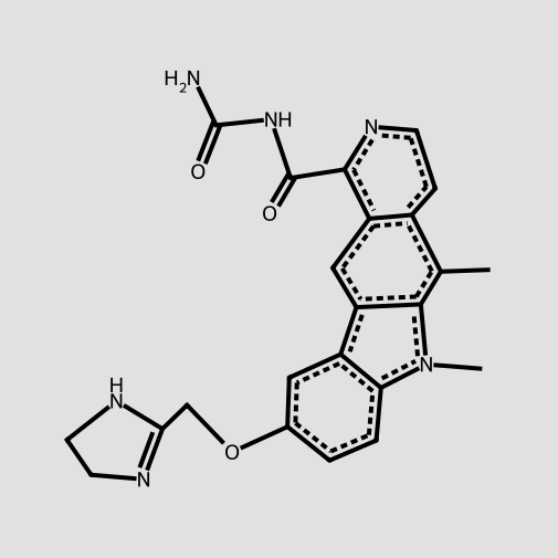 Cc1c2ccnc(C(=O)NC(N)=O)c2cc2c3cc(OCC4=NCCN4)ccc3n(C)c12